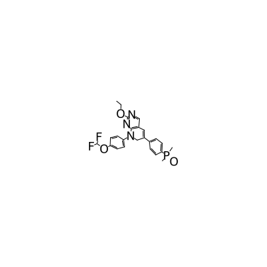 CCOc1ncc2c(n1)N(c1ccc(OC(F)F)cc1)CC(c1ccc(P(C)(C)=O)cc1)=C2